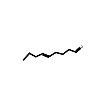 CCC/C=C/CCCC=O